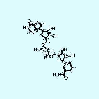 NC(=O)C1=CN([C@@H]2O[C@H](COP(=O)(O)OP(=O)(O)OC[C@H]3O[C@@H](n4cnc5c(=O)[nH]cnc54)[C@H](O)[C@@H]3O)[C@@H](O)[C@H]2O)C=CC1